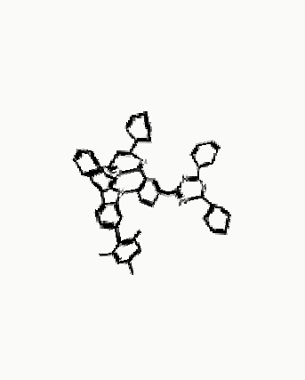 Cc1cc(C)c(-c2ccc3c4ccccc4n(-c4ccc(-c5nc(-c6ccccc6)nc(-c6ccccc6)n5)cc4-c4nc(-c5ccccc5)cc(-c5ccccc5)n4)c3c2)c(C)c1